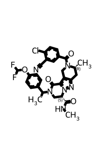 CNC(=O)[C@@H]1CN(C(C)c2ccc(OC(F)F)cc2)C(=O)c2c3c(nn21)C[C@@H](C)N(C(=O)c1ccc(Cl)c(C#N)c1)C3